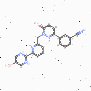 Bc1cnc(-c2cccc(Cn3nc(-c4cccc(C#N)c4)ccc3=O)n2)nc1